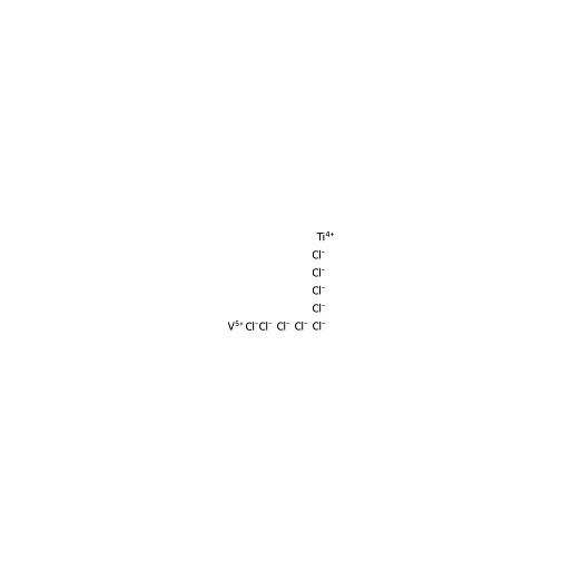 [Cl-].[Cl-].[Cl-].[Cl-].[Cl-].[Cl-].[Cl-].[Cl-].[Cl-].[Ti+4].[V+5]